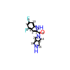 O=C(c1cc2c(F)cc(F)cc2[nH]1)N1CC2CNCC2C1